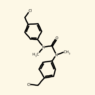 CN(C(=O)N(C)c1ccc(CCl)cc1)c1ccc(CCl)cc1